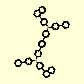 c1ccc(-c2ccc(N(c3ccc(-c4ccc(-c5ccc(N(c6ccc(-c7ccccc7)cc6)c6ccc(-c7cccc8ccccc78)cc6)cc5)cc4)cc3)c3ccc(-c4cccc5ccccc45)cc3)cc2)cc1